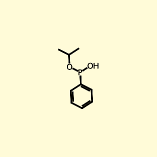 CC(C)OP(O)c1ccccc1